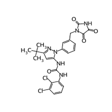 CC(C)(C)c1cc(NC(=O)Nc2cccc(Cl)c2Cl)n(-c2cccc(CN3C(=O)NC(=O)C3=O)c2)n1